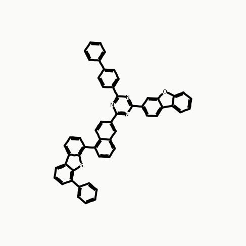 c1ccc(-c2ccc(-c3nc(-c4ccc5c(-c6cccc7c6sc6c(-c8ccccc8)cccc67)cccc5c4)nc(-c4ccc5c(c4)oc4ccccc45)n3)cc2)cc1